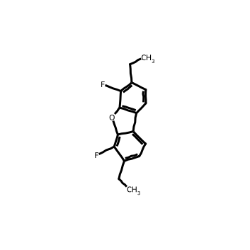 CCc1ccc2c(oc3c(F)c(CC)ccc32)c1F